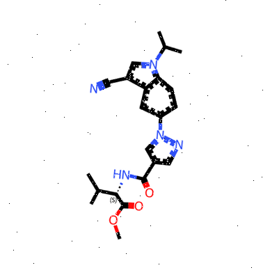 COC(=O)[C@@H](NC(=O)c1cnn(-c2ccc3c(c2)c(C#N)cn3C(C)C)c1)C(C)C